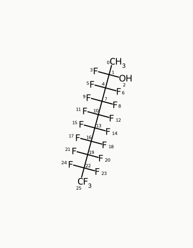 CC(O)(F)C(F)(F)C(F)(F)C(F)(F)C(F)(F)C(F)(F)C(F)(F)C(F)(F)C(F)(F)F